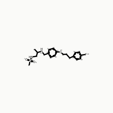 CC(CNS(C)(=O)=O)NCc1ccc(OCCCc2ccc(F)cc2)cc1